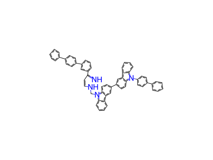 N=C(/C=C\NCn1c2ccccc2c2cc(-c3ccc4c(c3)c3ccccc3n4-c3ccc(-c4ccccc4)cc3)ccc21)c1cccc(-c2ccc(-c3ccccc3)cc2)c1